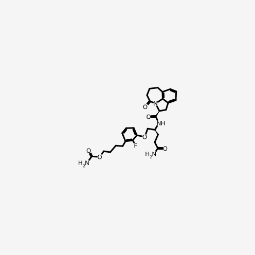 NC(=O)CC[C@@H](COc1cccc(CCCCOC(N)=O)c1F)NC(=O)[C@@H]1Cc2cccc3c2N1C(=O)CCC3